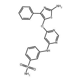 Nc1nc(-c2ccccc2)c(Oc2cc(Nc3cccc(S(N)(=O)=O)c3)ncn2)s1